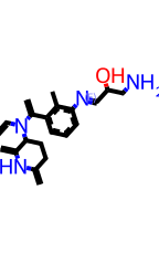 C=CN(C(=C)c1cccc(/N=C/C(O)CN)c1C)C1CCC(=C)NC1=C